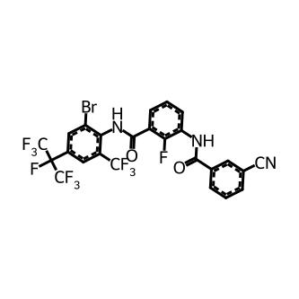 N#Cc1cccc(C(=O)Nc2cccc(C(=O)Nc3c(Br)cc(C(F)(C(F)(F)F)C(F)(F)F)cc3C(F)(F)F)c2F)c1